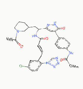 CNC(=O)N1CCCC(CC(NC(=O)C=Cc2cc(Cl)ccc2-n2cnnn2)c2cc(-c3ccc(NC(=O)OC)cc3)c(=O)[nH]n2)C1